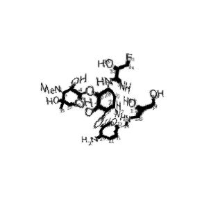 CN[C@@H]1C(O)[C@@H](OC2C(O)[C@H](O[C@H]3O[C@H](CNCC(O)CO)CCC3N)[C@@H](N)C[C@H]2NC(=N)C(O)CF)OCC1(C)O